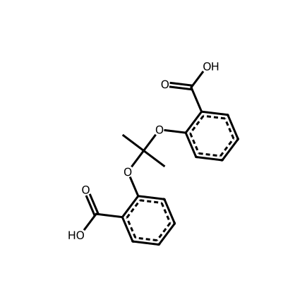 CC(C)(Oc1ccccc1C(=O)O)Oc1ccccc1C(=O)O